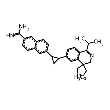 CCC1(CC)CN=C(C(C)C)c2ccc(C3CC3c3ccc4cc(C(=N)N)ccc4c3)cc21